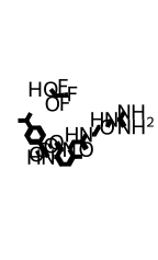 Cc1ccc(NS(=O)(=O)c2ccc(C(C)C)cc2)c(=O)n1CC(=O)NCCONC(=N)N.O=C(O)C(F)(F)F